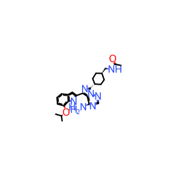 CC(=O)NC[C@H]1CC[C@H](c2nc(-c3cc4cccc(OC(C)C)c4[nH]3)c3c(N)ncnn32)CC1